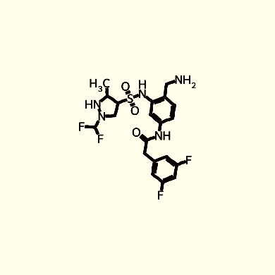 CC1NN(C(F)F)CC1S(=O)(=O)Nc1cc(NC(=O)Cc2cc(F)cc(F)c2)ccc1CN